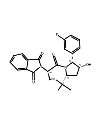 C[C@H](C(=O)N1[C@H](c2cccc(F)c2)[C@H](O)C[C@@H]1C(C)(C)C#N)N1C(=O)c2ccccc2C1=O